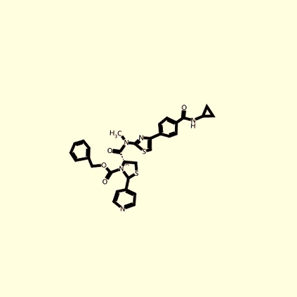 CN(C(=O)[C@@H]1CSC(c2ccncc2)N1C(=O)OCc1ccccc1)c1nc(-c2ccc(C(=O)NC3CC3)cc2)cs1